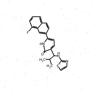 CC(C)C(Nc1nccs1)c1ccc(-c2ccc3cccc(F)c3c2)[nH]c1=O